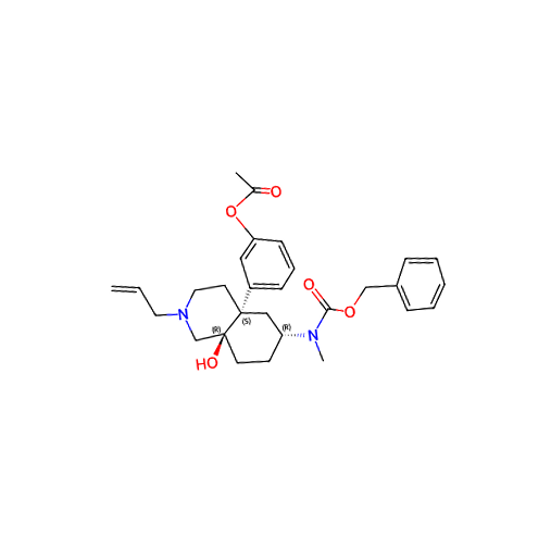 C=CCN1CC[C@@]2(c3cccc(OC(C)=O)c3)C[C@H](N(C)C(=O)OCc3ccccc3)CC[C@]2(O)C1